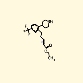 CCOC(=O)/C=C/CCc1cc(C(F)(F)F)ccc1C1CCNCC1